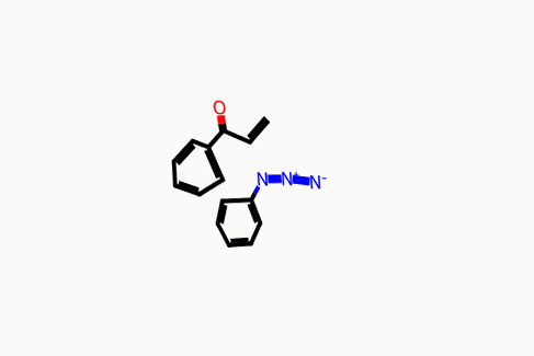 C=CC(=O)c1ccccc1.[N-]=[N+]=Nc1ccccc1